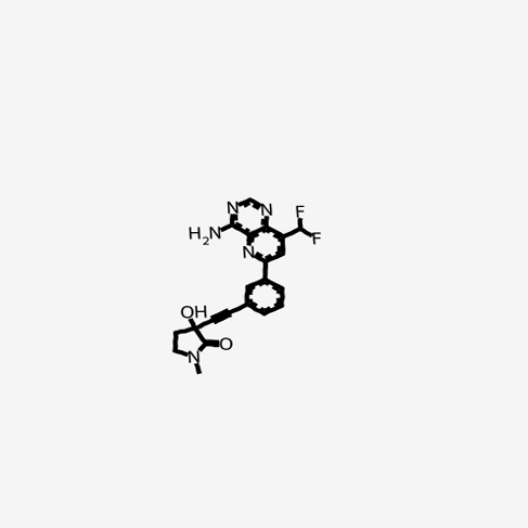 CN1CCC(O)(C#Cc2cccc(-c3cc(C(F)F)c4ncnc(N)c4n3)c2)C1=O